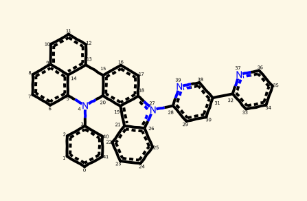 c1ccc(N2c3cccc4cccc(c34)-c3ccc4c(c32)c2ccccc2n4-c2ccc(-c3ccccn3)cn2)cc1